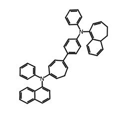 C1=CC2=C(N(c3ccccc3)c3ccc(C4=CCC=C(N(c5ccccc5)c5cccc6ccccc56)C=C4)cc3)C=CCCC2C=C1